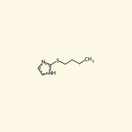 C[CH]CCSc1ncc[nH]1